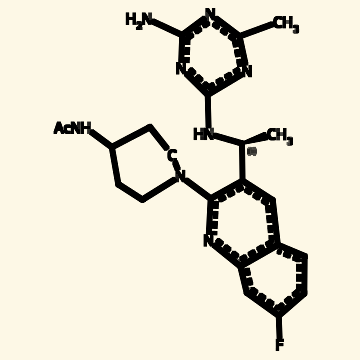 CC(=O)NC1CCN(c2nc3cc(F)ccc3cc2[C@H](C)Nc2nc(C)nc(N)n2)CC1